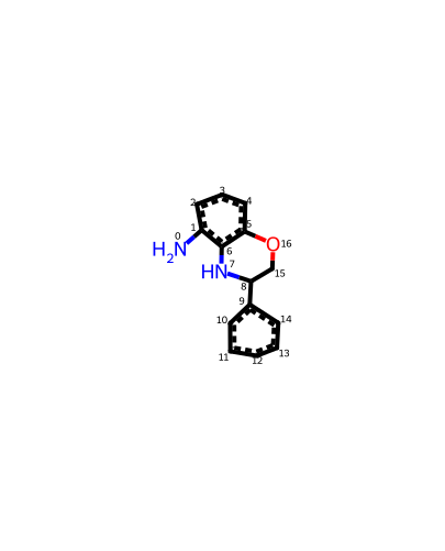 Nc1cccc2c1NC(c1ccccc1)CO2